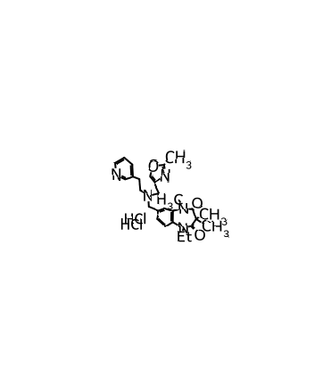 CCN1C(=O)C(C)(C)C(=O)N(C)c2cc(CN(CCc3cccnc3)Cc3coc(C)n3)ccc21.Cl.Cl